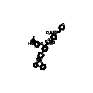 CC(C)c1ccccc1[C@@H]1CCC[C@@H]1N1CC2(CCN(c3ccc(C(=O)NS(=O)(=O)c4ccc(NCC5CCOCC5)c([N+](=O)[O-])c4)c(Oc4cnc5[nH]cc(F)c5c4)c3)CC2)C1